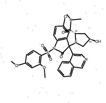 COc1ccc(S(=O)(=O)N2C(=O)C(c3cncc4ccccc34)(N3C[C@H](O)C[C@H]3C(=O)N(C)C)c3cc(Cl)ccc32)c(OC)c1